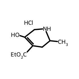 CCOC(=O)C1=C(O)CNC(C)C1.Cl